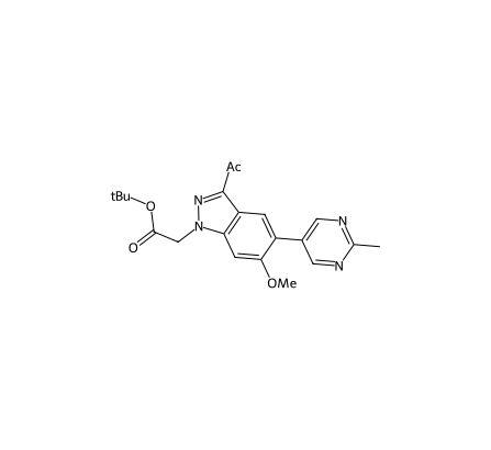 COc1cc2c(cc1-c1cnc(C)nc1)c(C(C)=O)nn2CC(=O)OC(C)(C)C